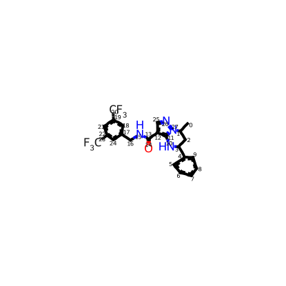 CC1CC(c2ccccc2)Nc2c(C(=O)NCc3cc(C(F)(F)F)cc(C(F)(F)F)c3)cnn21